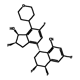 N#Cc1cc(F)cc2c1[C@@H](c1cc(F)c(C3CCOCC3)c3c1C[C@@H](F)[C@H]3O)C[C@H](F)[C@@H]2F